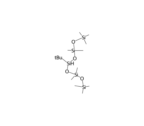 CC(C)(C)[SiH](O[Si](C)(C)O[Si](C)(C)C)O[Si](C)(C)O[Si](C)(C)C